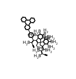 BCC1=C(/C(=C(/B)C#C)c2ccc(-c3ccc4c5ccccc5c5ccccc5c4c3)cc2)c2c(B)c(B)c(B)c(B)c2C12C/C(=C(B)\C(B)=C(\B)C#C)c1c(B)c(B)c(B)c(B)c12